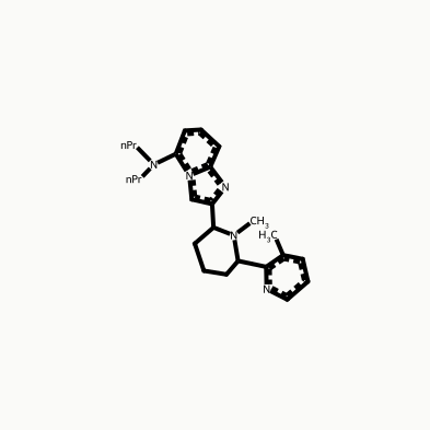 CCCN(CCC)c1cccc2nc(C3CCCC(c4ncccc4C)N3C)cn12